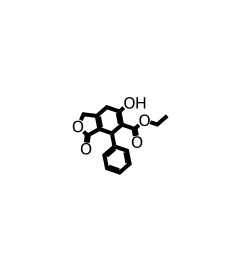 CCOC(=O)C1=C(O)CC2=C(C(=O)OC2)C1c1ccccc1